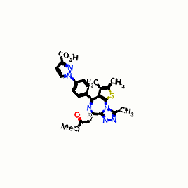 COC(=O)C[C@@H]1N=C(c2ccc(-n3ccc(C(=O)O)n3)cc2)c2c(sc(C)c2C)-n2c(C)nnc21